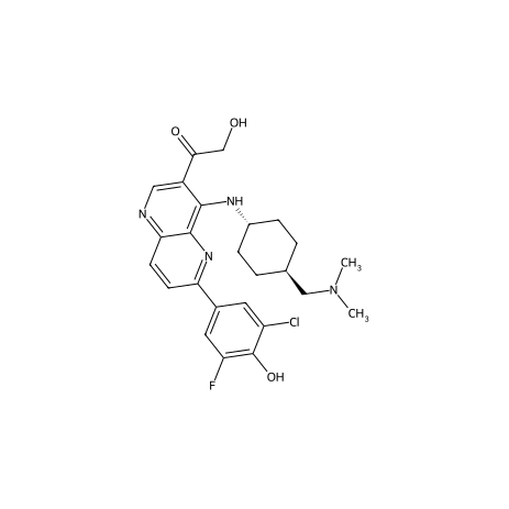 CN(C)C[C@H]1CC[C@H](Nc2c(C(=O)CO)cnc3ccc(-c4cc(F)c(O)c(Cl)c4)nc23)CC1